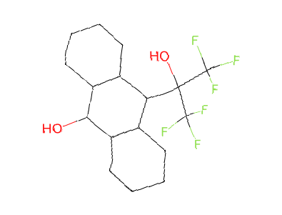 OC1C2CCCCC2C(C(O)(C(F)(F)F)C(F)(F)F)C2CCCCC12